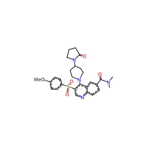 COc1ccc(S(=O)(=O)c2cnc3ccc(C(=O)N(C)C)cc3c2N2CCC(N3CCCC3=O)CC2)cc1